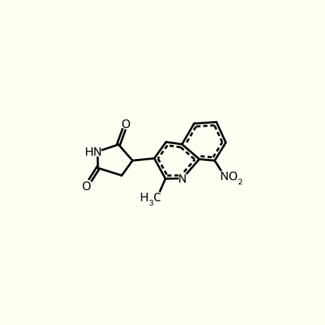 Cc1nc2c([N+](=O)[O-])cccc2cc1C1CC(=O)NC1=O